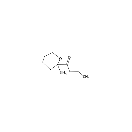 CC=CC(=O)C1([SiH3])CCCCO1